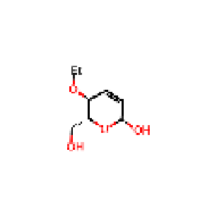 CCO[C@H]1C=C[C@@H](O)O[C@@H]1CO